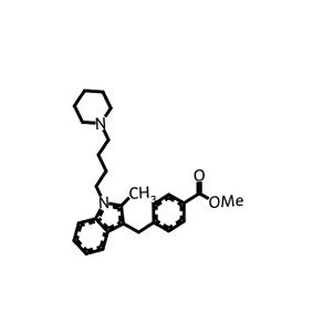 COC(=O)c1ccc(Cc2c(C)n(CCCCN3CCCCC3)c3ccccc23)cc1